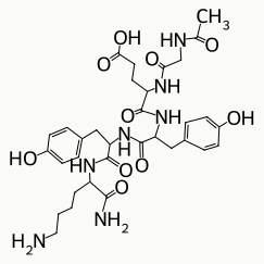 CC(=O)NCC(=O)NC(CCC(=O)O)C(=O)NC(Cc1ccc(O)cc1)C(=O)NC(Cc1ccc(O)cc1)C(=O)NC(CCCCN)C(N)=O